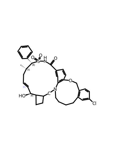 C[C@H]1C/C=C/[C@H](O)C2CCC2CN2CCCCc3cc(Cl)ccc3COc3ccc(cc32)C(=O)NS(=O)(=O)[C@H]1c1ccccc1